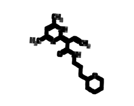 C=C/C(C(=O)NCCCC1CCCCO1)=C1/N=C(C)C=C(C)N1